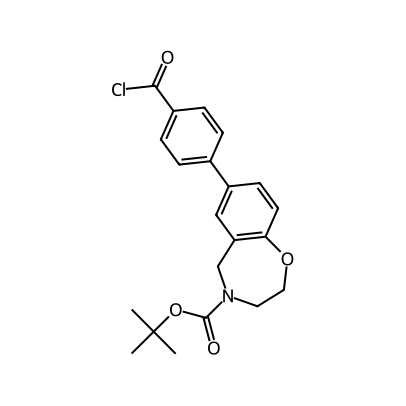 CC(C)(C)OC(=O)N1CCOc2ccc(-c3ccc(C(=O)Cl)cc3)cc2C1